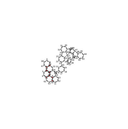 c1ccc(-c2cccc(-c3ccccc3N(c3cccc(-c4ccc5c(c4)C4(c6ccccc6-5)c5ccccc5-n5c6ccccc6c6cccc4c65)c3)c3ccccc3-c3ccccc3)c2)cc1